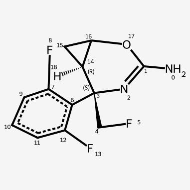 NC1=N[C@](CF)(c2c(F)cccc2F)[C@H]2CC2O1